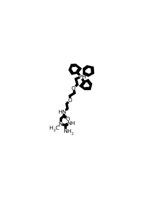 CN(CC(=O)NCCOCCOCC[PH](c1ccccc1)(c1ccccc1)c1ccccc1)C(=N)N